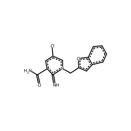 N=c1c(C(N)=O)cc(Cl)cn1Cc1cc2ccccc2o1